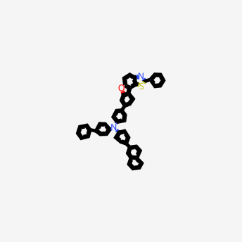 c1ccc(-c2ccc(N(c3ccc(-c4ccc5ccccc5c4)cc3)c3ccc(-c4ccc5c(c4)oc4ccc6nc(-c7ccccc7)sc6c45)cc3)cc2)cc1